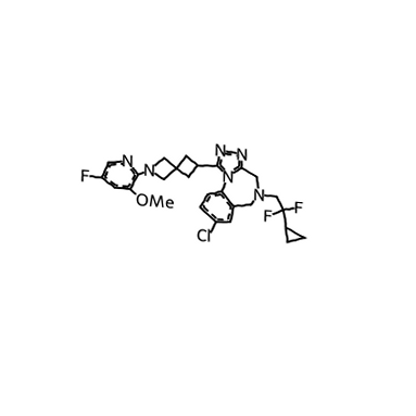 COc1cc(F)cnc1N1CC2(CC(c3nnc4n3-c3ccc(Cl)cc3CN(CC(F)(F)C3CC3)C4)C2)C1